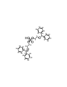 O=P(O)(OCCOC(c1ccccc1)c1ccccc1)OCCOC(c1ccccc1)c1ccccc1